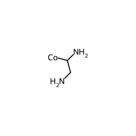 NC[CH](N)[Co]